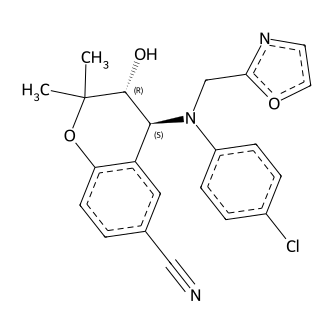 CC1(C)Oc2ccc(C#N)cc2[C@H](N(Cc2ncco2)c2ccc(Cl)cc2)[C@H]1O